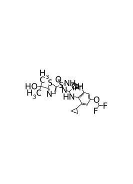 CC(C)c1cc(OC(F)F)cc(C2CC2)c1NC(O)N=S(N)(=O)c1cnc(C(C)(C)O)s1